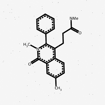 CNC(=O)CCc1c(-c2ccccc2)n(C)c(=O)c2cc(C)ccc12